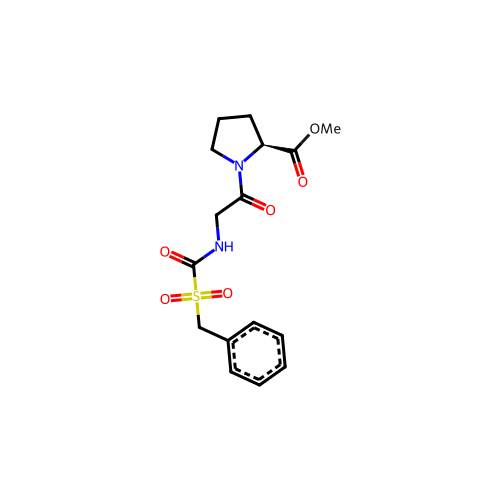 COC(=O)[C@@H]1CCCN1C(=O)CNC(=O)S(=O)(=O)Cc1ccccc1